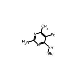 CCCCNc1nc(N)nc(C)c1CC